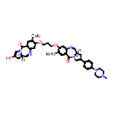 COc1cc2c(cc1OCCCOc1cc3c(cc1OC)C(=O)N1C=C(c4ccc(N5CCN(C)CC5)cc4)C[C@H]1C=N3)N=C[C@@H]1CC(O)=CN1C2=O